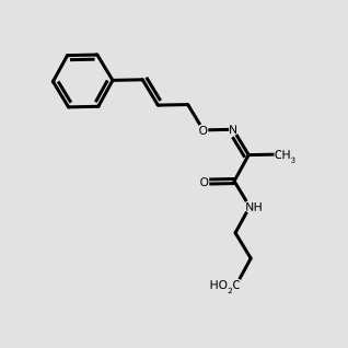 CC(=NOCC=Cc1ccccc1)C(=O)NCCC(=O)O